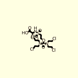 C[C@H](NS(=O)(=O)CCOP(=O)(N(CCCl)CCCl)N(CCCl)CCCl)C(=O)O